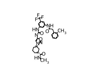 CNC(=O)[C@@H]1CCC[C@@H]([n+]2cc([N-]C(=O)Nc3cc(NC(=O)Cc4ccccc4C)cc(C(F)(F)F)c3)on2)C1